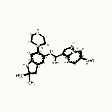 CC1(C)Cc2cc(NC(O)c3cnn4cc(C=O)cnc34)c(N3CCOCC3)cc2O1